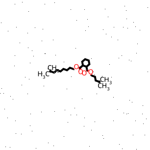 CC(C)CCCCCCCOC(=O)C1CCCCC1C(=O)OCCCC(C)C